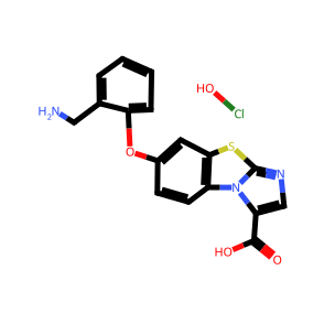 NCc1ccccc1Oc1ccc2c(c1)sc1ncc(C(=O)O)n12.OCl